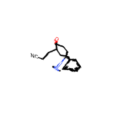 CN(C)C1(c2ccccc2)CCC(=O)C(CCC#N)C1